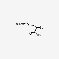 CCCCCCCCCC(CC)C(=O)C(C)C